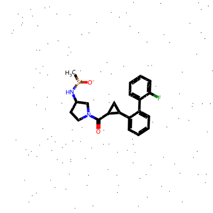 C[S+]([O-])NC1CCN(C(=O)C2CC2c2ccccc2-c2ccccc2F)C1